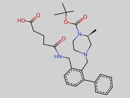 C[C@H]1CN(Cc2c(CNC(=O)CCCC(=O)O)cccc2-c2ccccc2)CCN1C(=O)OC(C)(C)C